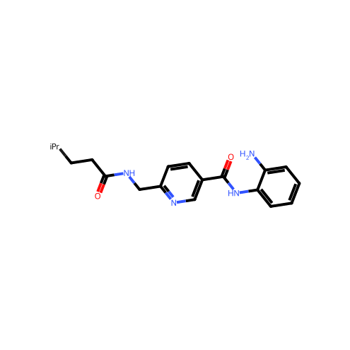 CC(C)CCC(=O)NCc1ccc(C(=O)Nc2ccccc2N)cn1